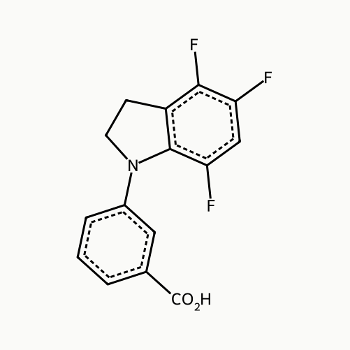 O=C(O)c1cccc(N2CCc3c(F)c(F)cc(F)c32)c1